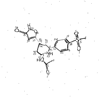 CC(=O)O.CS(=O)(=O)c1ccc([C@H]2C[C@@H](c3cc(=O)[nH]o3)CCN2)cc1